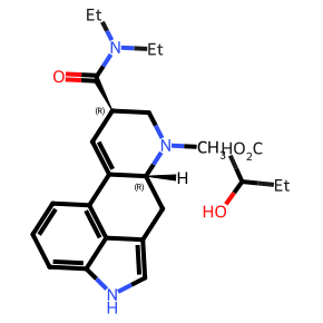 CCC(O)C(=O)O.CCN(CC)C(=O)[C@@H]1C=C2c3cccc4[nH]cc(c34)C[C@H]2N(C)C1